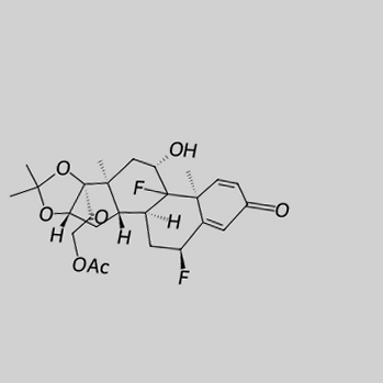 CC(=O)OCC(=O)[C@@]12OC(C)(C)O[C@H]1C[C@H]1[C@@H]3C[C@H](F)C4=CC(=O)C=C[C@]4(C)C3(F)[C@@H](O)C[C@@]12C